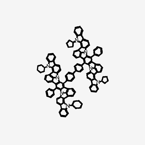 c1ccc(-c2c3c4cccc5c6c7c(ccc6n(c3c(-c3ccc(-c6ccc(-c8c9c%10cccc%11c%12c%13c(ccc%12n(c9c(-c9ccccc9)c9c%12cccc%14c%15c%16c(ccc%15n(c89)c%12%14)c8ccccc8n%16C8CCCC8)c%10%11)c8ccccc8n%13C8CCCC8)cc6)cc3)c3c6cccc8c9c%10c(ccc9n(c23)c68)c2ccccc2n%10C2CCCCC2)c45)c2ccccc2n7C2CCCCC2)cc1